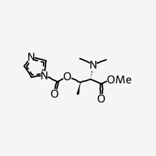 COC(=O)[C@H]([C@@H](C)OC(=O)n1ccnc1)N(C)C